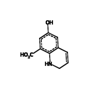 O=C(O)c1cc(O)cc2c1NCC=C2